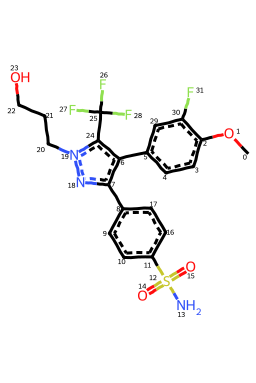 COc1ccc(-c2c(-c3ccc(S(N)(=O)=O)cc3)nn(CCCO)c2C(F)(F)F)cc1F